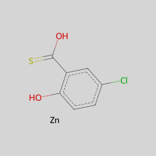 OC(=S)c1cc(Cl)ccc1O.[Zn]